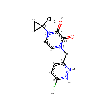 CC1(n2ccn(Cc3ccc(Cl)nn3)c(=O)c2=O)CC1